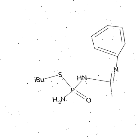 CCC(C)SP(N)(=O)NC(C)=Nc1ccccc1